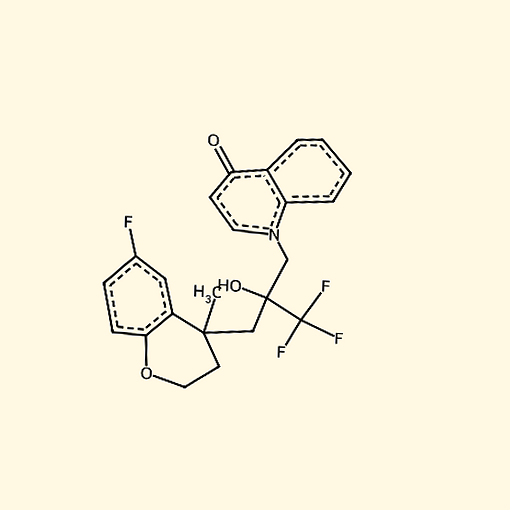 CC1(CC(O)(Cn2ccc(=O)c3ccccc32)C(F)(F)F)CCOc2ccc(F)cc21